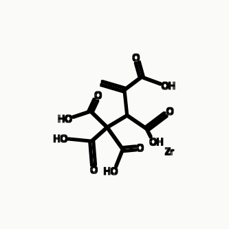 C=C(C(=O)O)C(C(=O)O)C(C(=O)O)(C(=O)O)C(=O)O.[Zr]